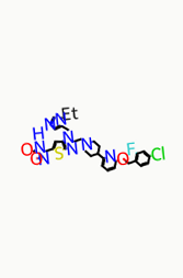 CCn1cncc1Cn1c(CN2CCC(c3cccc(OCc4ccc(Cl)cc4F)n3)CC2)nc2sc(-c3noc(=O)[nH]3)cc21